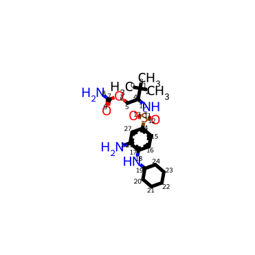 CC(C)(C)C(COC(N)=O)NS(=O)(=O)c1ccc(NC2CCCCC2)c(N)c1